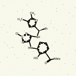 CNC(=O)c1cccc(Nc2n[s+]([O-])nc2N[C@@H](c2cc(C)c(C)o2)C(C)C)c1O